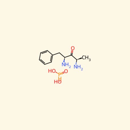 C[C@@H](N)C(=O)[C@@H](N)Cc1ccccc1.O=[PH](O)O